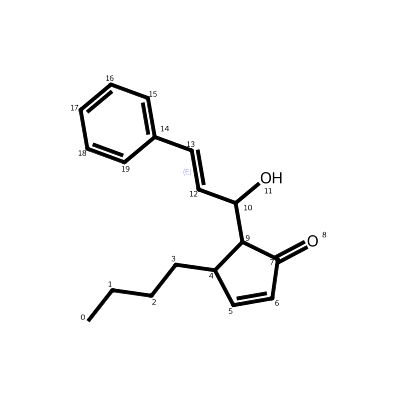 CCCCC1C=CC(=O)C1C(O)/C=C/c1ccccc1